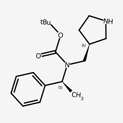 C[C@@H](c1ccccc1)N(C[C@H]1CCNC1)C(=O)OC(C)(C)C